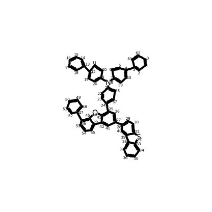 c1ccc(-c2ccc(N(c3ccc(-c4ccccc4)cc3)c3ccc(-c4cc(-c5ccc6sc7ccccc7c6c5)cc5c4oc4c(-c6ccccc6)cccc45)cc3)cc2)cc1